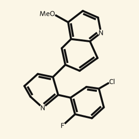 COc1ccnc2ccc(-c3cccnc3-c3cc(Cl)ccc3F)cc12